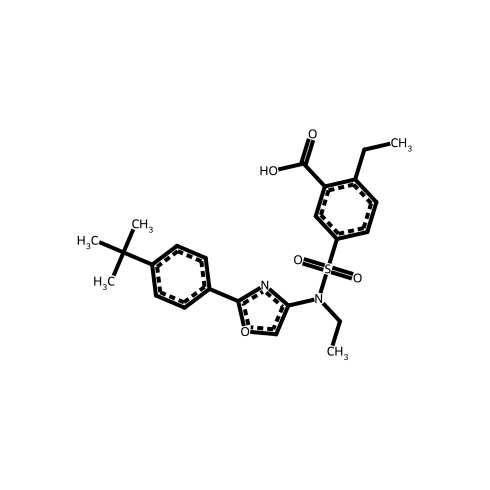 CCc1ccc(S(=O)(=O)N(CC)c2coc(-c3ccc(C(C)(C)C)cc3)n2)cc1C(=O)O